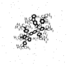 CC(C)(C)c1ccc(N2c3ccccc3B3c4cc5cc6c(cc5cc4N(c4ccc(C(C)(C)C)cc4)c4cc(C(C)(C)C)cc2c43)B2c3sc4cc5c(cc4c3N(c3ccc(C(C)(C)C)cc3)c3cc(C(C)(C)C)cc(c32)N6c2ccc(C(C)(C)C)cc2)-c2ccccc2C5(C)C)cc1